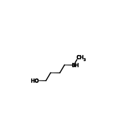 CBCCCCO